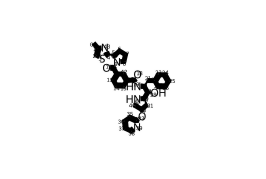 Cc1csc([C@H]2CCCN2C(=O)c2cccc(C(=O)N[C@@H](Cc3ccccc3)[C@H](O)[C@H]3C[C@@H](Oc4ccccn4)CN3)c2)n1